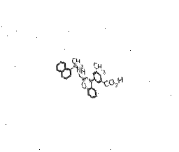 Cc1cc(C(=O)O)cc([C@@H]2C[C@H](CN[C@H](C)c3cccc4ccccc34)Oc3ccccc32)c1